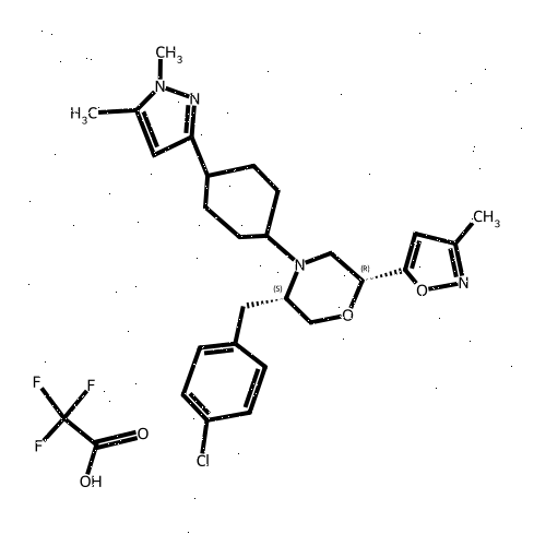 Cc1cc([C@H]2CN(C3CCC(c4cc(C)n(C)n4)CC3)[C@@H](Cc3ccc(Cl)cc3)CO2)on1.O=C(O)C(F)(F)F